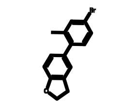 Cc1cc(Br)ccc1-c1ccc2c(c1)CCO2